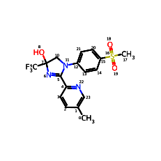 Cc1ccc(C2=NC(O)(C(F)(F)F)CN2c2ccc(S(C)(=O)=O)cc2)nc1